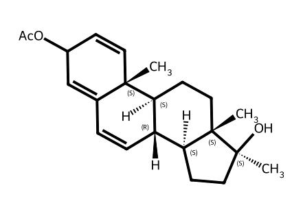 CC(=O)OC1C=C[C@@]2(C)C(=C1)C=C[C@@H]1[C@@H]2CC[C@@]2(C)[C@H]1CC[C@]2(C)O